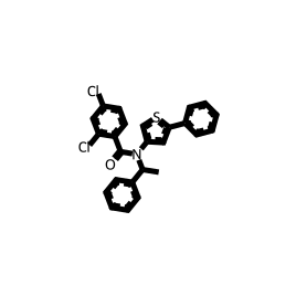 CC(c1ccccc1)N(C(=O)c1ccc(Cl)cc1Cl)c1csc(-c2ccccc2)c1